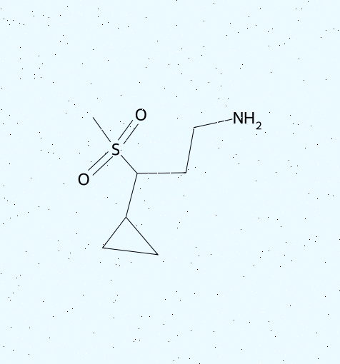 CS(=O)(=O)C(CCN)C1CC1